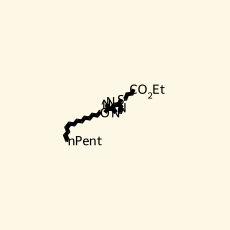 CCCCC/C=C\C/C=C\CCCCCCCCOc1c2ncnc(SCCCC(=O)OCC)c2nn1C